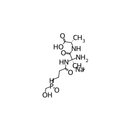 C[C@H](NC(=O)[C@@](C)(N)NC(=O)CCC[PH](=O)CO)C(=O)O.[Na]